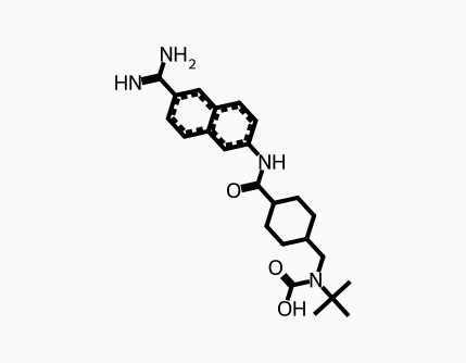 CC(C)(C)N(CC1CCC(C(=O)Nc2ccc3cc(C(=N)N)ccc3c2)CC1)C(=O)O